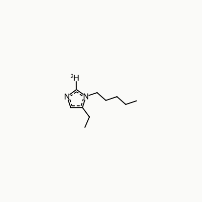 [2H]c1ncc(CC)n1CCCCC